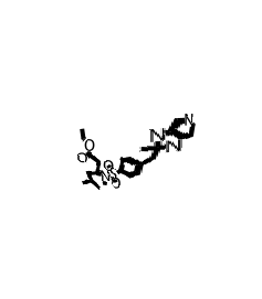 CCOC(=O)CC(CC(C)C)N(C)S(=O)(=O)c1ccc(CC2(C)N=c3ccncc3=N2)cc1